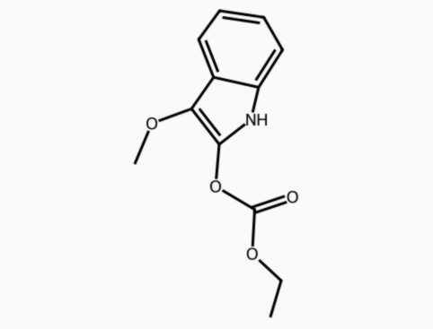 CCOC(=O)Oc1[nH]c2ccccc2c1OC